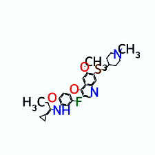 COc1cc2c(Oc3ccc(NC(C(C)=O)=C4CC4)cc3F)ccnc2cc1SCC1CCN(C)CC1